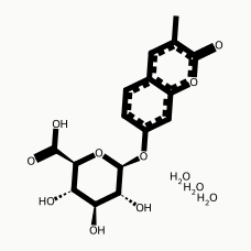 Cc1cc2ccc(O[C@@H]3O[C@H](C(=O)O)[C@@H](O)[C@H](O)[C@H]3O)cc2oc1=O.O.O.O